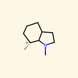 C[C@@H]1CCCC2CCN(C)C21